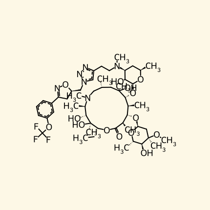 CC[C@H]1OC(=O)[C@H](C)[C@@H](O[C@H]2C[C@@](C)(OC)[C@@H](O)[C@H](C)O2)[C@H](C)[C@@H](O[C@@H]2O[C@H](C)C[C@H](N(C)CCc3cn(C[C@H]4CC(c5cccc(OC(F)(F)F)c5)=NO4)nn3)[C@H]2O)[C@](C)(O)C[C@@H](C)CN(C)[C@H](C)[C@@H](O)[C@]1(C)O